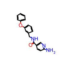 Nc1ccc(C(=O)NCc2cccc(Oc3ccccc3)c2)cn1